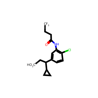 O=C(O)CC(c1ccc(Cl)c(NC(=O)CCC(F)(F)F)c1)C1CC1